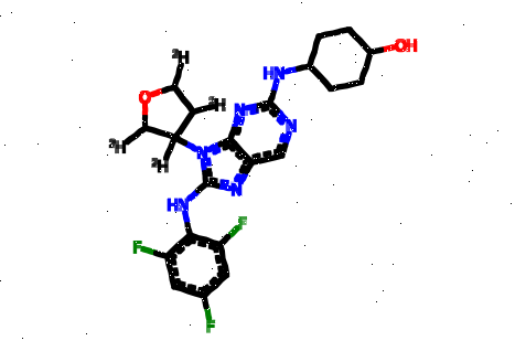 [2H]C1OC([2H])C([2H])(n2c(Nc3c(F)cc(F)cc3F)nc3cnc(NC4CCC(O)CC4)nc32)C1[2H]